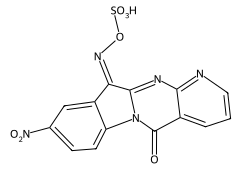 O=c1c2cccnc2nc2n1-c1ccc([N+](=O)[O-])cc1C2=NOS(=O)(=O)O